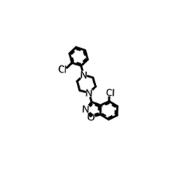 Clc1ccccc1N1CCN(c2noc3cccc(Cl)c23)CC1